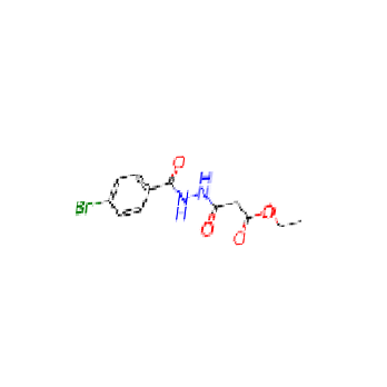 CCOC(=O)CC(=O)NNC(=O)c1ccc(Br)cc1